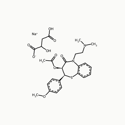 COc1ccc([C@@H]2Sc3ccccc3N(CCN(C)C)C(=O)[C@@H]2OC(C)=O)cc1.O=C(O)CC(O)C(=O)[O-].[Na+]